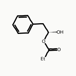 CCC(=O)O[C@@H](O)Cc1ccccc1